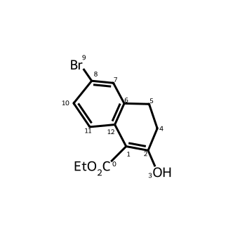 CCOC(=O)C1=C(O)CCc2cc(Br)ccc21